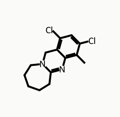 Cc1c(Cl)cc(Cl)c2c1N=C1CCCCCN1C2